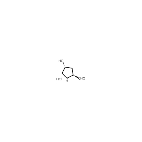 Cl.O=C[C@@H]1C[C@@H](O)CN1